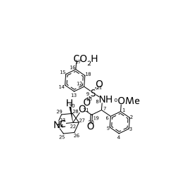 COc1ccccc1C(NS(=O)(=O)c1cccc(C(=O)O)c1)C(=O)O[C@H]1CN2CCC1CC2